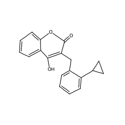 O=c1oc2ccccc2c(O)c1Cc1ccccc1C1CC1